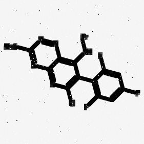 CSc1nnc2c(NC(C)C)c(-c3c(F)cc(F)cc3F)c(Cl)nc2n1